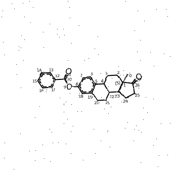 C[C@]12CCC3c4ccc(OC(=O)c5ccccc5)cc4CCC3C1CCC2=O